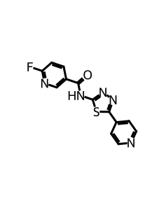 O=C(Nc1nnc(-c2ccncc2)s1)c1ccc(F)nc1